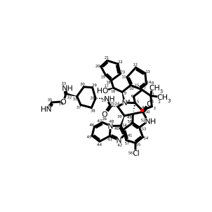 CC1(C)CCC2(CC1)N([C@H](c1ccccc1)[C@@H](O)c1ccccc1)[C@@H](C(=O)N[C@H]1CC[C@H](C(=N)OC=N)CC1)[C@H](c1cnc3ccccn13)[C@]21C(=O)Nc2cc(Cl)ccc21